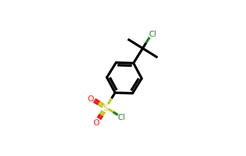 CC(C)(Cl)c1ccc(S(=O)(=O)Cl)cc1